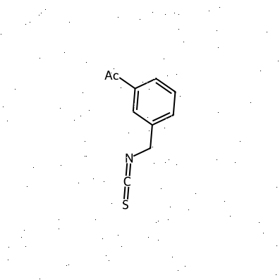 CC(=O)c1cccc(CN=C=S)c1